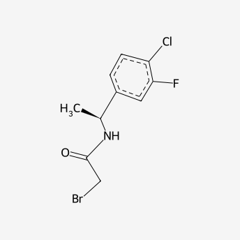 C[C@H](NC(=O)CBr)c1ccc(Cl)c(F)c1